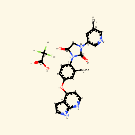 COc1cc(Oc2ccnc3[nH]ccc23)ccc1N1C(=O)CN(c2cncc(C(F)(F)F)c2)C1=O.O=C(O)C(F)(F)F